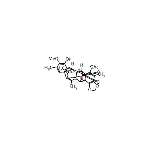 COc1c(C)cc2c(c1O)[C@H]1C3[C@@H]4SCC(=O)C(=O)OCC(c5c6c(c(C)c(OC(C)=O)c54)OCO6)N3C(C)(C2)CN1C